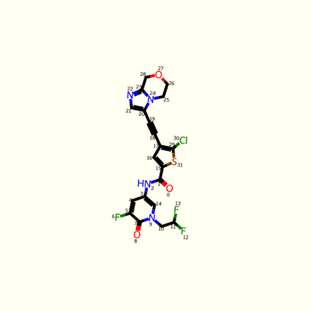 O=C(Nc1cc(F)c(=O)n(CC(F)F)c1)c1cc(C#Cc2cnc3n2CCOC3)c(Cl)s1